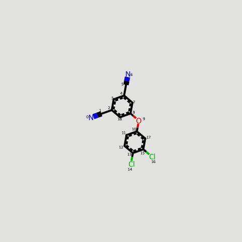 N#Cc1cc(C#N)cc(Oc2ccc(Cl)c(Cl)c2)c1